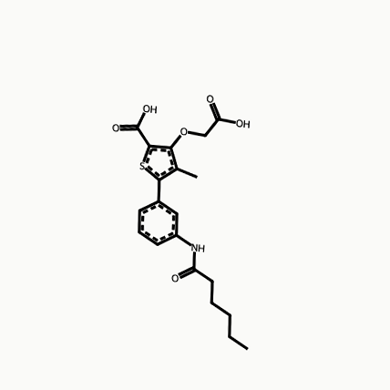 CCCCCC(=O)Nc1cccc(-c2sc(C(=O)O)c(OCC(=O)O)c2C)c1